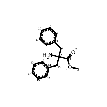 COC(=O)C(N)(Cc1ccccc1)Cc1ccccc1